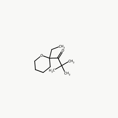 CCC1(C(=O)C(C)(C)C)CCCCO1